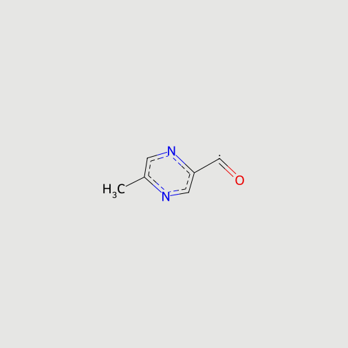 Cc1cnc([C]=O)cn1